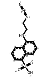 [N-]=[N+]=NCCNc1cccc2c(S(=O)(=O)O)cccc12